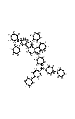 c1ccc(-c2ccc(N(c3ccc(-c4ccccc4)cc3)c3ccc(-n4c5ccccc5c5c4ccc4c6c(nc(-c7ccccc7)n6-c6ccccc6)n(-c6ccccc6)c45)cc3)cc2)cc1